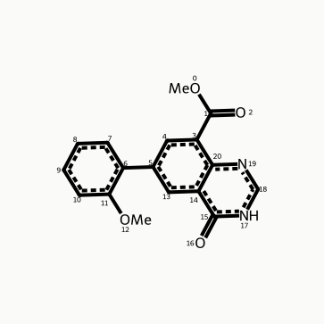 COC(=O)c1cc(-c2ccccc2OC)cc2c(=O)[nH]cnc12